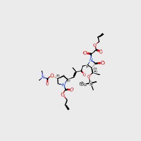 C=CCOC(=O)C(=O)N1C(=O)[C@H]([C@@H](C)O[Si](C)(C)C(C)(C)C)[C@H]1CC(=O)C(C)=C[C@@H]1C[C@@H](OC(=O)N(C)C)CN1C(=O)OCC=C